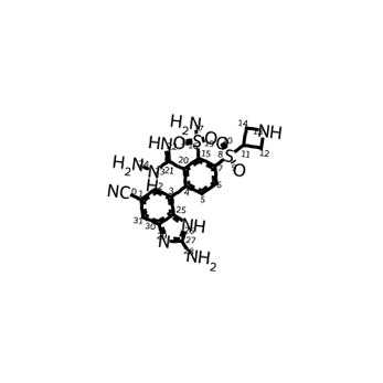 N#Cc1cc(-c2ccc(S(=O)(=O)C3CNC3)c(S(N)(=O)=O)c2C(=N)NN)c2[nH]c(N)nc2c1